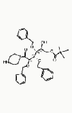 CC(C)(C)C(=O)OC[C@H](O)[C@@H](OCc1ccccc1)[C@H](OCc1ccccc1)[C@@H](OCc1ccccc1)C(=O)N1CCNCC1